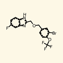 Fc1ccc2[nH]c(COCc3ccc(OC(F)(F)F)c(Br)c3)nc2c1